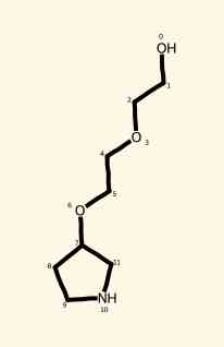 OCCOCCOC1CCNC1